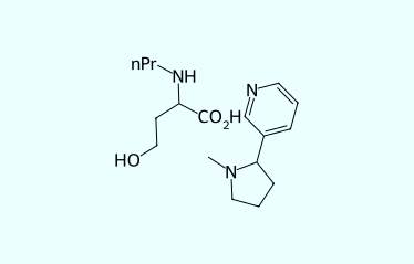 CCCNC(CCO)C(=O)O.CN1CCCC1c1cccnc1